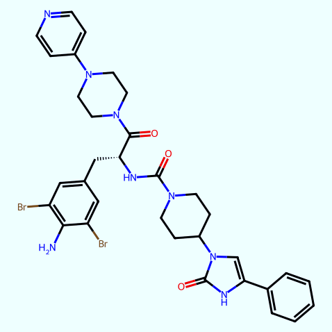 Nc1c(Br)cc(C[C@@H](NC(=O)N2CCC(n3cc(-c4ccccc4)[nH]c3=O)CC2)C(=O)N2CCN(c3ccncc3)CC2)cc1Br